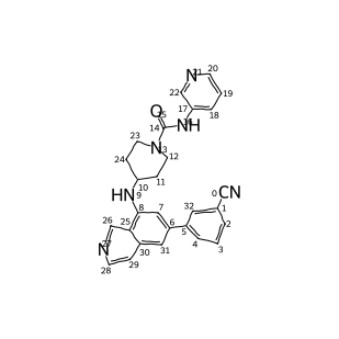 N#Cc1cccc(-c2cc(NC3CCN(C(=O)Nc4cccnc4)CC3)c3cnccc3c2)c1